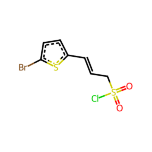 O=S(=O)(Cl)C/C=C/c1ccc(Br)s1